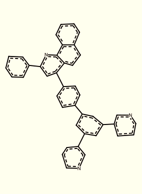 c1ccc(-c2cc(-c3ccc(-c4cc(-c5cccnc5)cc(-c5cccnc5)c4)cc3)c3ccc4ccccc4c3n2)cc1